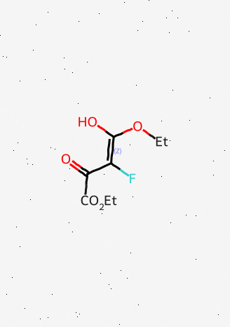 CCOC(=O)C(=O)/C(F)=C(\O)OCC